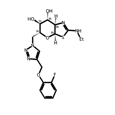 CCNC1=N[C@@H]2[C@@H](O)[C@H](O)[C@@H](Cn3cc(COc4ccccc4F)nn3)O[C@@H]2S1